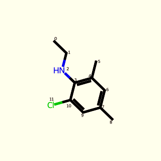 CCNc1c(C)cc(C)cc1Cl